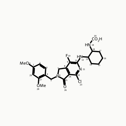 COc1ccc(CN2Cc3c(F)c(NC4CCCCC4NC(=O)O)nc(Cl)c3C2=O)c(OC)c1